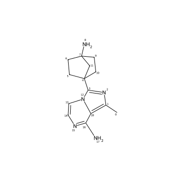 Cc1nc(C23CCC(N)(CC2)C3)n2ccnc(N)c12